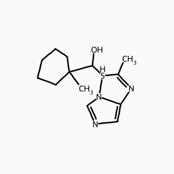 CC1=Nc2cncn2[SH]1C(O)C1(C)CCCCC1